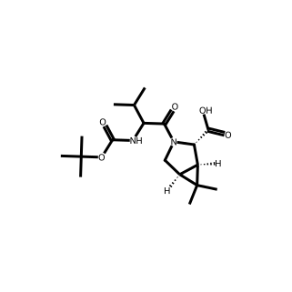 CC(C)C(NC(=O)OC(C)(C)C)C(=O)N1C[C@H]2[C@@H]([C@H]1C(=O)O)C2(C)C